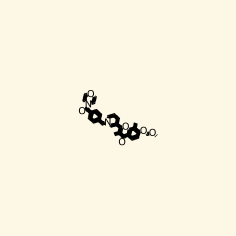 COCOc1ccc2c(=O)c(C)c(C3CCCN(Cc4ccc(C(=O)N5CCOCC5)cc4)C3)oc2c1C